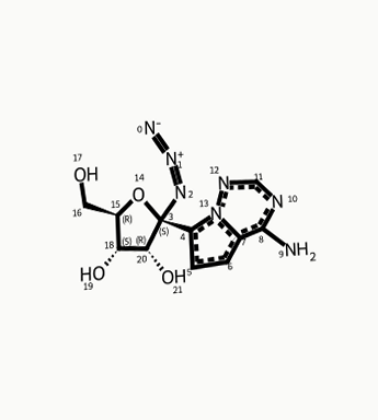 [N-]=[N+]=N[C@@]1(c2ccc3c(N)ncnn23)O[C@H](CO)[C@@H](O)[C@H]1O